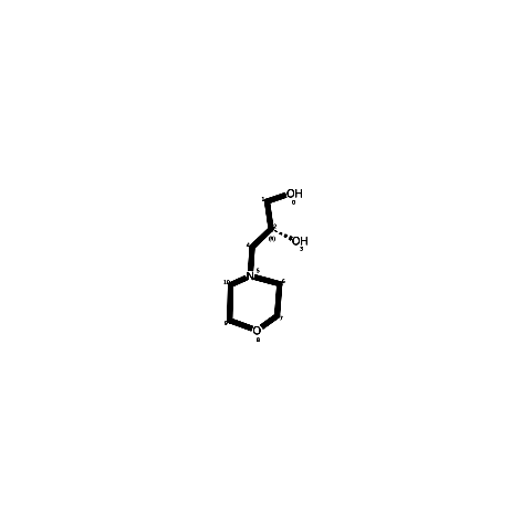 OC[C@H](O)CN1CCOCC1